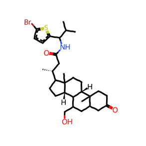 CC(C)C(NC(=O)C[C@@H](C)C1CC[C@H]2C3C(CO)CC4CC(=O)CCC4(C)[C@H]3CCC12C)c1ccc(Br)s1